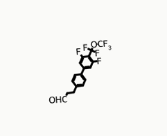 O=CCCc1ccc(-c2cc(F)c(C(F)(F)OC(F)(F)F)c(F)c2)cc1